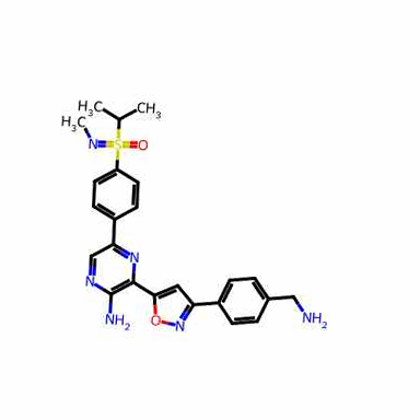 CN=S(=O)(c1ccc(-c2cnc(N)c(-c3cc(-c4ccc(CN)cc4)no3)n2)cc1)C(C)C